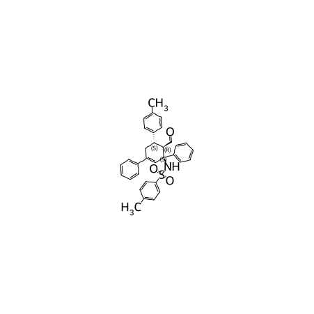 Cc1ccc([C@H]2CC(c3ccccc3)=C[C@@](NS(=O)(=O)c3ccc(C)cc3)(c3ccccc3)[C@@H]2C=O)cc1